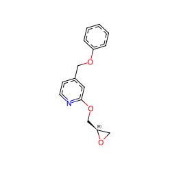 c1ccc(OCc2ccnc(OC[C@H]3CO3)c2)cc1